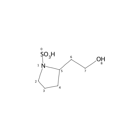 O=S(=O)(O)N1CCCC1CCO